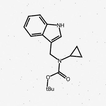 CC(C)(C)OC(=O)N(Cc1c[nH]c2ccccc12)C1CC1